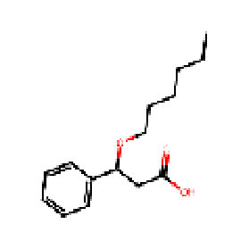 CCCCCCOC(CC(=O)O)c1ccccc1